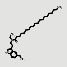 CCCCCCCCCCCCCCCCCCCC(=O)N(CC)CCc1c[nH]c2ccc(CC)cc12